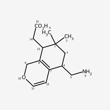 CC1(C)CC(CN)C2=C(COC=C2)C1CC(=O)O